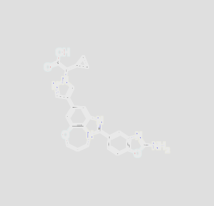 Nc1nc2cc(-c3nc4cc(-c5cnn(C(C(=O)O)C6CC6)c5)cc5c4n3CCCO5)ccc2o1